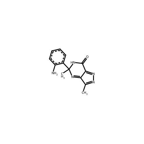 CC1=NN=C2C(=O)NC(C)(c3ccccc3N)N=C12